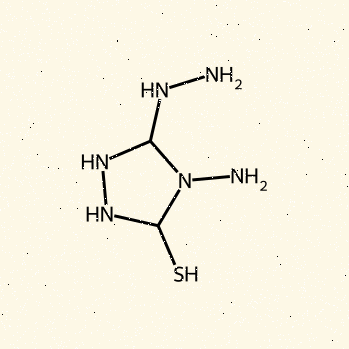 NNC1NNC(S)N1N